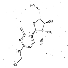 C[C@@]1(C#N)[C@H](O)[C@@H](CO)O[C@@H]1n1ccc(NCO)nc1=O